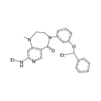 [CH2]CC(Oc1cccc(N2CCN(C)c3cc(NCC)ncc3C2=O)c1)c1ccccc1